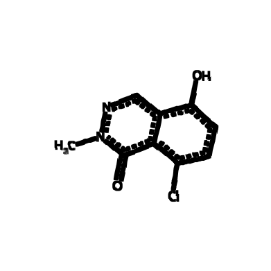 Cn1ncc2c(O)ccc(Cl)c2c1=O